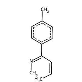 C/C=C\C(=N/C)c1ccc(C)cc1